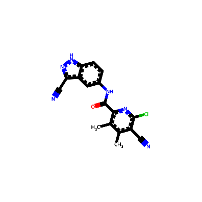 Cc1c(C(=O)Nc2ccc3[nH]nc(C#N)c3c2)nc(Cl)c(C#N)c1C